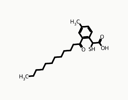 CCCCCCCCCCCC(=O)c1cc(C)ccc1C(S)C(=O)O